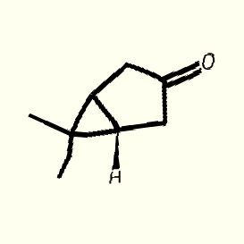 CC1(C)C2CC(=O)C[C@@H]21